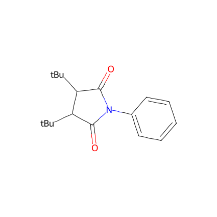 CC(C)(C)C1C(=O)N(c2ccccc2)C(=O)C1C(C)(C)C